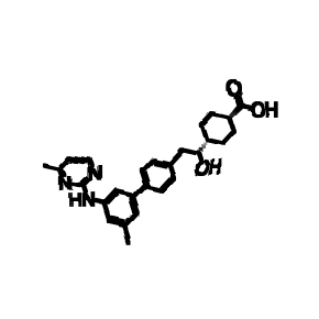 Cc1cc(Nc2nccc(C)n2)cc(-c2ccc(CC(O)[C@H]3CC[C@H](C(=O)O)CC3)cc2)c1